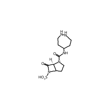 O=C(NC1CCNNCC1)N1CCC2[C@H]1C(=O)N2S(=O)(=O)O